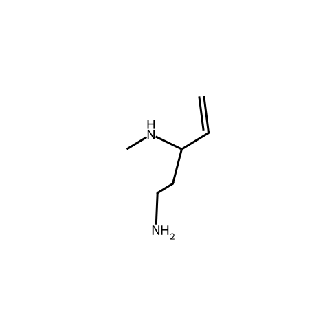 C=CC(CCN)NC